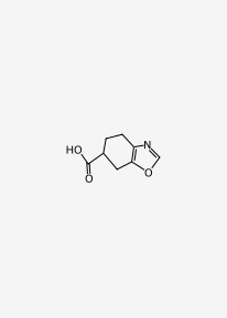 O=C(O)C1CCc2ncoc2C1